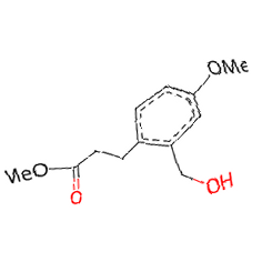 COC(=O)CCc1ccc(OC)cc1CO